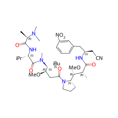 CC[C@H](C)[C@@H]([C@@H](CC(=O)N1CCC[C@H]1[C@H](OC)[C@@H](C)C(=O)N[C@H](CC#N)Cc1cccc([N+](=O)[O-])c1)OC)N(C)C(=O)[C@@H](NC(=O)[C@@H](C)N(C)C)C(C)C